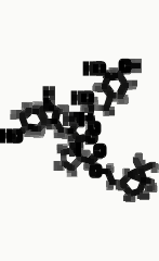 CC1(C)C2C(CCOC(=O)C3CCCN3C(=O)C(Cc3c[nH]c4ccc(O)cc34)NC(=O)C(O)Cc3ccc(O)c(O)c3)CCC21C